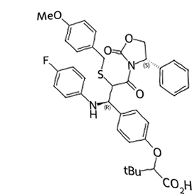 COc1ccc(CSC(C(=O)N2C(=O)OC[C@@H]2c2ccccc2)[C@H](Nc2ccc(F)cc2)c2ccc(OC(C(=O)O)C(C)(C)C)cc2)cc1